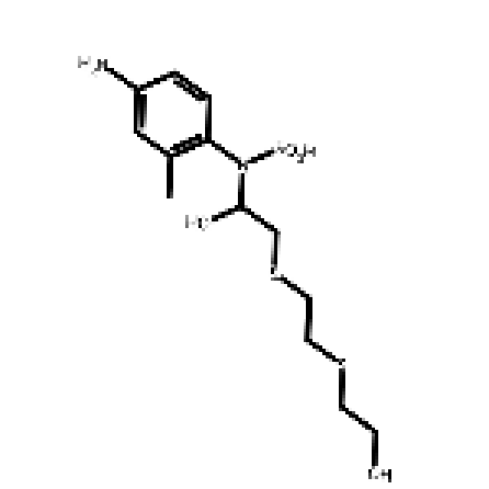 Cc1cc(N)ccc1N(C(O)CSCCSCCO)S(=O)(=O)O